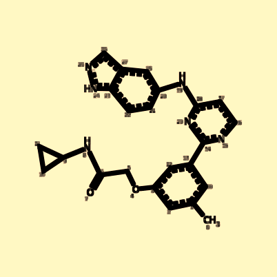 Cc1cc(OCC(=O)NC2CC2)cc(-c2nccc(Nc3ccc4[nH]ncc4c3)n2)c1